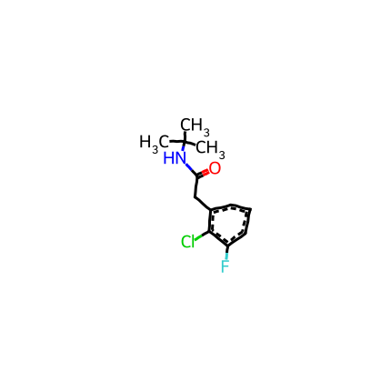 CC(C)(C)NC(=O)Cc1cccc(F)c1Cl